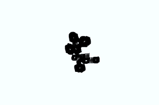 O=CC(Cc1ccccc1)NC(=O)c1cc(-c2ccccc2-c2ccccc2)nc2ccccc12